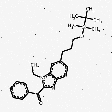 CCn1c(C(=O)c2ccccc2)nc2ccc(CCCO[Si](C)(C)C(C)(C)C)cc21